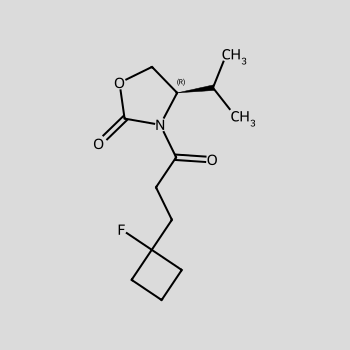 CC(C)[C@@H]1COC(=O)N1C(=O)CCC1(F)CCC1